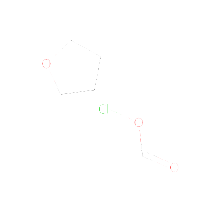 C1CCOC1.O=COCl